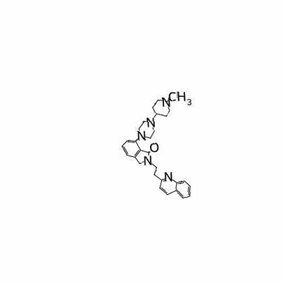 CN1CCC(N2CCN(c3cccc4c3C(=O)N(CCc3ccc5ccccc5n3)C4)CC2)CC1